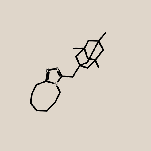 CC12CC3(C)CC(C)(C1)CC(Cc1nnc4n1CCCCCCC4)(C2)C3